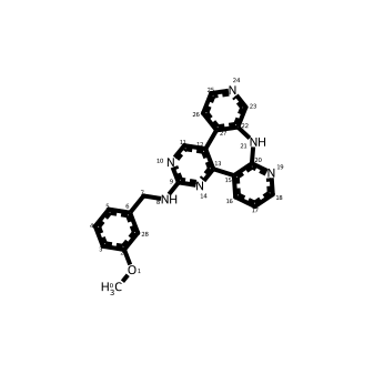 COc1cccc(CNc2ncc3c(n2)-c2cccnc2Nc2cnccc2-3)c1